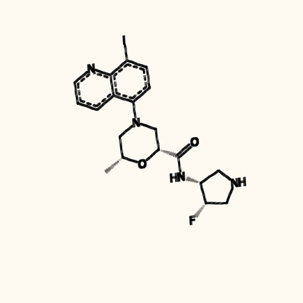 C[C@@H]1CN(c2ccc(I)c3ncccc23)C[C@H](C(=O)N[C@@H]2CNC[C@@H]2F)O1